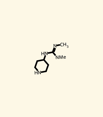 C/N=C(\NC)NC1CCNCC1